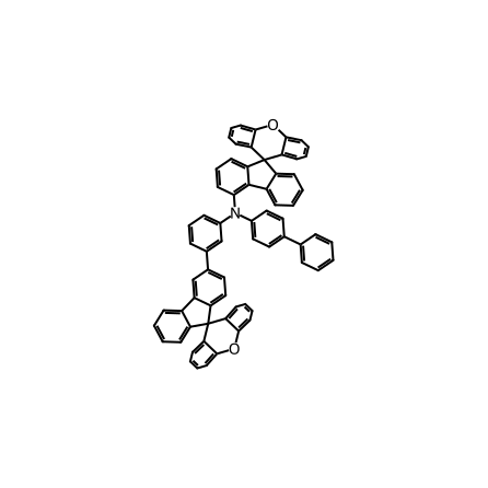 c1ccc(-c2ccc(N(c3cccc(-c4ccc5c(c4)-c4ccccc4C54c5ccccc5Oc5ccccc54)c3)c3cccc4c3-c3ccccc3C43c4ccccc4Oc4ccccc43)cc2)cc1